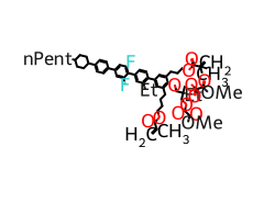 C=C(C)C(=O)OCCCCc1cc(-c2ccc(-c3c(F)cc(-c4ccc(C5CCC(CCCCC)CC5)cc4)cc3F)cc2CC)cc(CCCOC(=O)C(=C)C)c1OCC(CC)(COC(=O)C(=O)OC)COC(=O)C(=O)OC